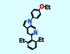 CCOc1ccc(-n2ccc3cc(-c4c(CC)cccc4CC)ncc32)cc1